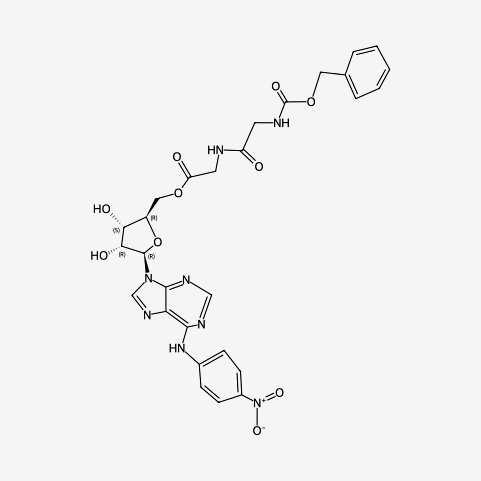 O=C(CNC(=O)OCc1ccccc1)NCC(=O)OC[C@H]1O[C@@H](n2cnc3c(Nc4ccc([N+](=O)[O-])cc4)ncnc32)[C@H](O)[C@@H]1O